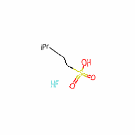 CC(C)CCS(=O)(=O)O.F